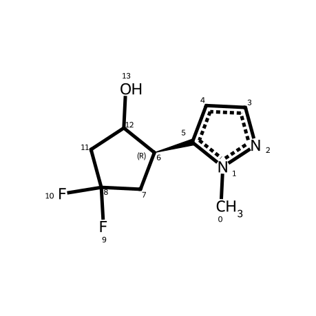 Cn1nccc1[C@H]1CC(F)(F)CC1O